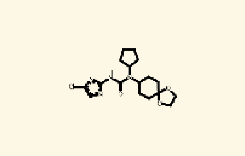 O=C(Nc1ncc(Cl)s1)N(C1CCCC1)C1CCC2(CC1)OCCO2